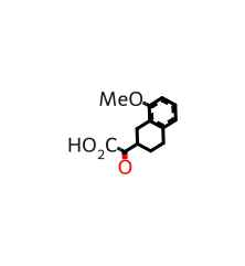 COc1cccc2c1CC(C(=O)C(=O)O)CC2